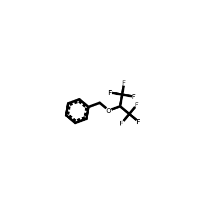 FC(F)(F)C(OCc1ccccc1)C(F)(F)F